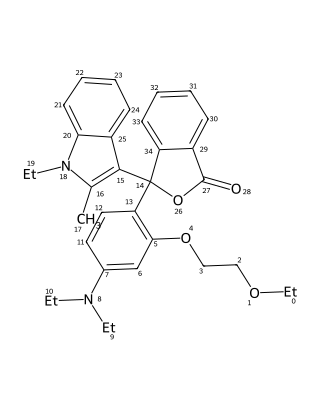 CCOCCOc1cc(N(CC)CC)ccc1C1(c2c(C)n(CC)c3ccccc23)OC(=O)c2ccccc21